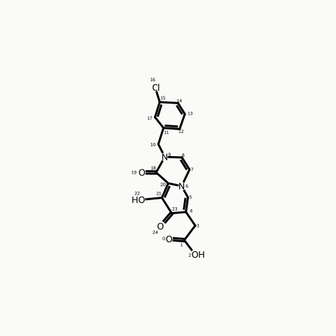 O=C(O)Cc1cn2ccn(Cc3cccc(Cl)c3)c(=O)c2c(O)c1=O